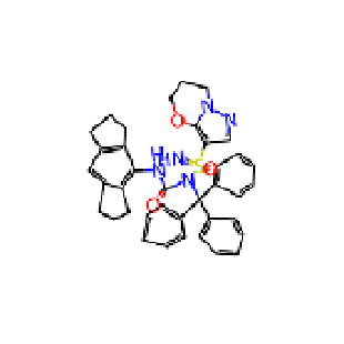 N=S(=O)(c1cnn2c1OCCC2)N(C(=O)Nc1c2c(cc3c1CCC3)CCC2)C(c1ccccc1)(c1ccccc1)c1ccccc1